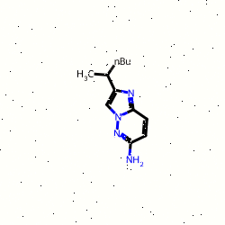 CCCCC(C)c1cn2nc(N)ccc2n1